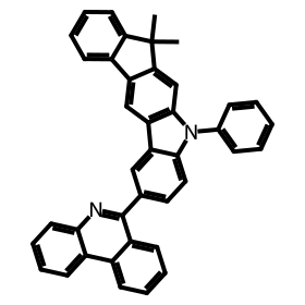 CC1(C)c2ccccc2-c2cc3c4cc(-c5nc6ccccc6c6ccccc56)ccc4n(-c4ccccc4)c3cc21